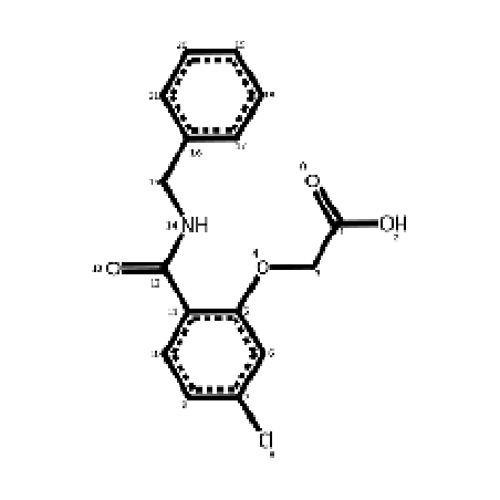 O=C(O)COc1cc(Cl)ccc1C(=O)NCc1ccccc1